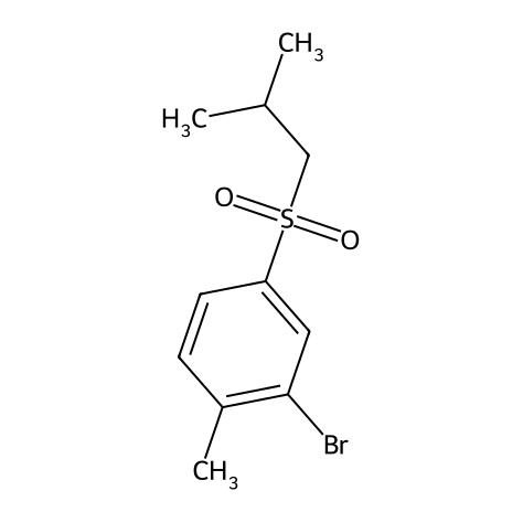 Cc1ccc(S(=O)(=O)CC(C)C)cc1Br